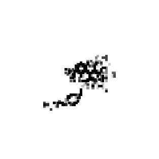 COC(=O)C1=C(C)NC(C)=C(C(=O)OCCN2CCN(CCN)CC2)C1c1cccc([N+](=O)[O-])c1